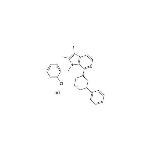 Cc1c(C)n(Cc2ccccc2Cl)c2c(N3CCCC(c4ccccc4)C3)nccc12.Cl